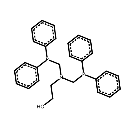 OCCN(CP(c1ccccc1)c1ccccc1)CP(c1ccccc1)c1ccccc1